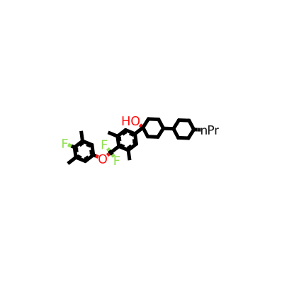 CCCC1CCC(C2CCC(O)(c3cc(C)c(C(F)(F)Oc4cc(C)c(F)c(C)c4)c(C)c3)CC2)CC1